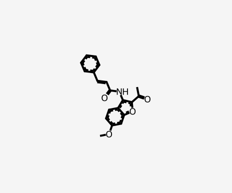 COc1ccc2c(NC(=O)C=Cc3ccccc3)c(C(C)=O)oc2c1